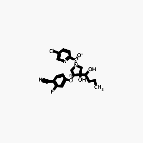 CCCC(O)C1(O)CN([S+]([O-])c2ccc(Cl)cn2)C[C@@H]1Oc1ccc(C#N)c(F)c1